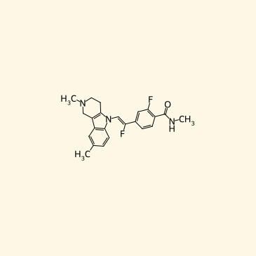 CNC(=O)c1ccc(C(F)=Cn2c3c(c4cc(C)ccc42)CN(C)CC3)cc1F